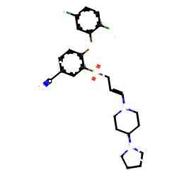 N#Cc1ccc(Sc2cc(Cl)ccc2Cl)c(S(=O)(=O)CC=CN2CCC(N3CCCC3)CC2)c1